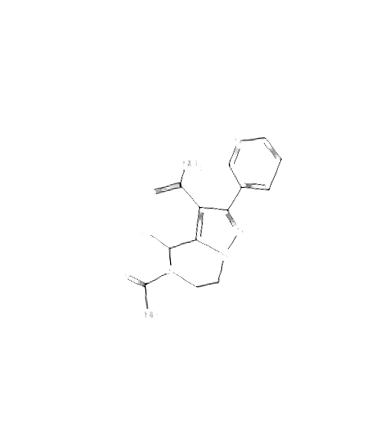 CC(C)(C)C1c2c(C(N)=O)c(-c3cccnc3)nn2CCN1C(N)=O